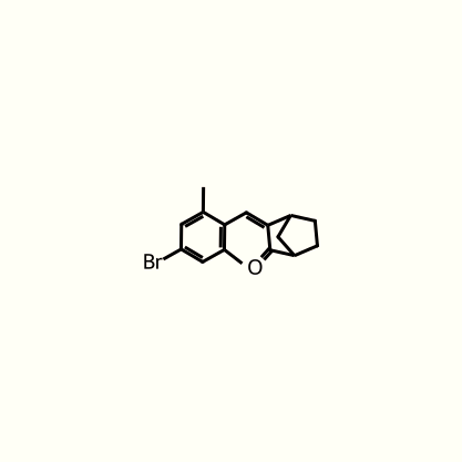 Cc1cc(Br)cc(C)c1/C=C1\C(=O)C2CCC1C2